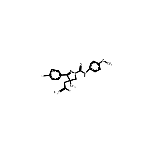 C=C(Cl)CC1(C)CN(C(=O)Nc2ccc(OC(F)(F)F)cc2)N=C1c1ccc(Cl)cc1